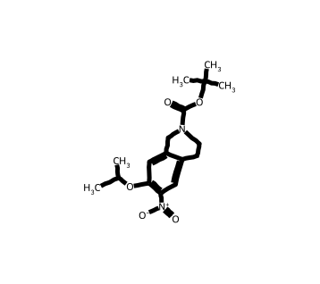 CC(C)Oc1cc2c(cc1[N+](=O)[O-])CCN(C(=O)OC(C)(C)C)C2